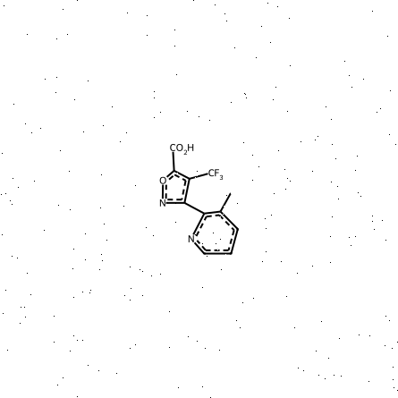 Cc1cccnc1-c1noc(C(=O)O)c1C(F)(F)F